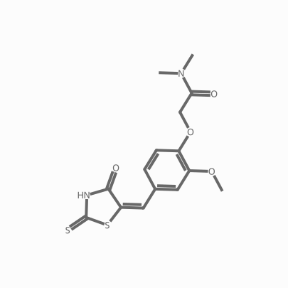 COc1cc(C=C2SC(=S)NC2=O)ccc1OCC(=O)N(C)C